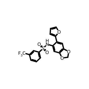 O=S(=O)(Nc1cc2c(cc1-c1ccco1)OCO2)c1cccc(C(F)(F)F)c1